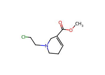 COC(=O)C1=CCCN(CCCl)C1